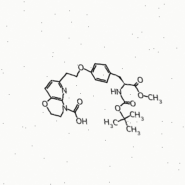 COC(=O)[C@H](Cc1ccc(OCCc2ccc3c(n2)N(C(=O)O)CCO3)cc1)NC(=O)OC(C)(C)C